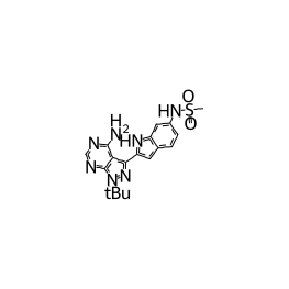 CC(C)(C)n1nc(-c2cc3ccc(NS(C)(=O)=O)cc3[nH]2)c2c(N)ncnc21